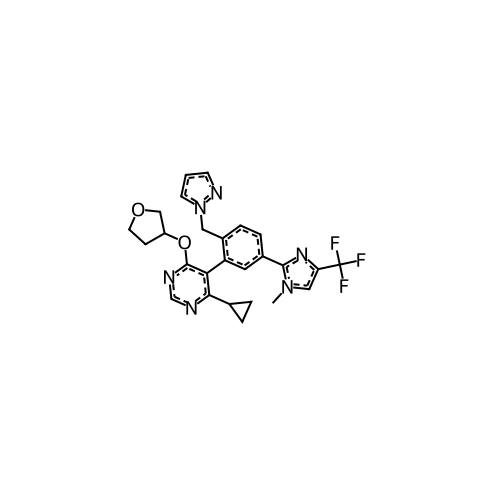 Cn1cc(C(F)(F)F)nc1-c1ccc(Cn2cccn2)c(-c2c(OC3CCOC3)ncnc2C2CC2)c1